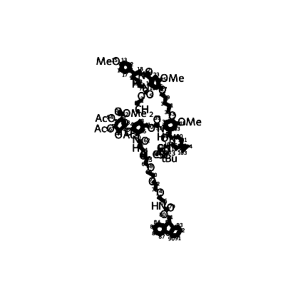 C=CCOC(=O)N1C[C@@H]2CC(c3ccc(OC)cc3)=CN2C(=O)c2cc(OC)c(OCCCCCOc3cc(NC(=O)OCc4ccc(O[C@@H]5O[C@H](C(=O)OC)[C@@H](OC(C)=O)[C@H](OC(C)=O)[C@H]5OC(C)=O)c(NC(=O)CCOCCOCCOCCOCCNC(=O)OCC5c6ccccc6-c6ccccc65)c4)c(C(=O)N4CCC5(CC5)C[C@H]4CO[Si](C)(C)C(C)(C)C)cc3OC)cc21